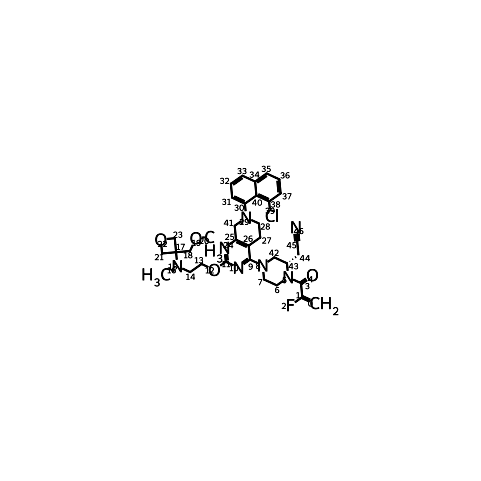 C=C(F)C(=O)N1CCN(c2nc(OCCN(C)C3(COC)COC3)nc3c2CCN(c2cccc4cccc(Cl)c24)C3)C[C@@H]1CC#N